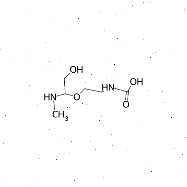 CNC(CO)OCCNC(=O)O